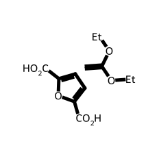 C=C(OCC)OCC.O=C(O)c1ccc(C(=O)O)o1